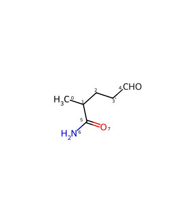 CC(C[CH]C=O)C(N)=O